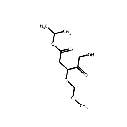 COCOC(CC(=O)OC(C)C)C(=O)CO